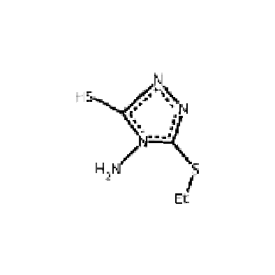 CCSc1nnc(S)n1N